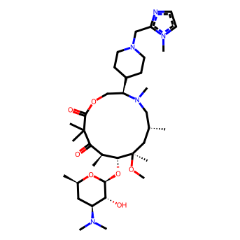 CO[C@]1(C)C[C@@H](C)CN(C)[C@H](C2CCN(Cc3nccn3C)CC2)COC(=O)C(C)(C)C(=O)[C@H](C)[C@H]1O[C@@H]1O[C@H](C)C[C@H](N(C)C)[C@H]1O